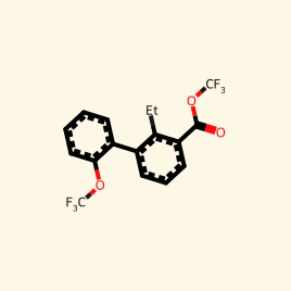 CCc1c(C(=O)OC(F)(F)F)cccc1-c1ccccc1OC(F)(F)F